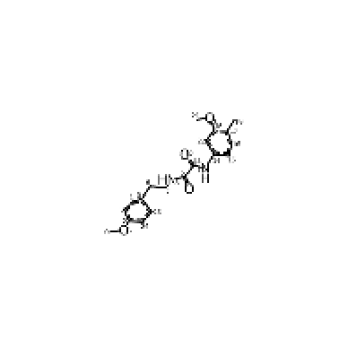 COc1ccc(CCNC(=O)C(=O)Nc2ccc(C)c(OC)c2)cc1